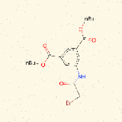 CCCCOC(=O)c1cc(NC(=O)CBr)cc(C(=O)OCCCC)c1